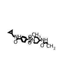 C=CC(=O)NC1CCN(S(=O)(=O)c2ccc(C(=O)NCC3CC3)cc2)C(C)C1